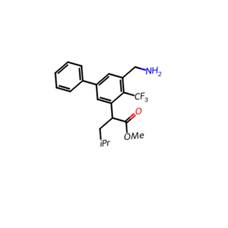 COC(=O)C(CC(C)C)c1cc(-c2ccccc2)cc(CN)c1C(F)(F)F